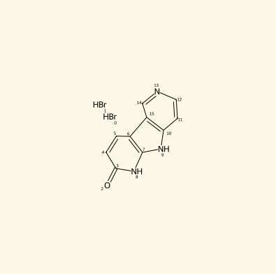 Br.Br.O=c1ccc2c([nH]1)[nH]c1ccncc12